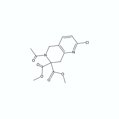 COC(=O)C1(C(=O)OC)Cc2nc(Cl)ccc2CN1C(C)=O